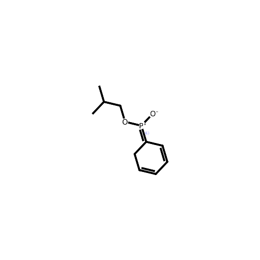 CC(C)CO/[P+]([O-])=C1/C=CC=CC1